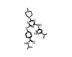 CC(C)NC(=O)c1ccc(Sc2nc(Nc3cc(C(C)C)[nH]n3)nc(N3CCN(C)CC3)n2)cc1